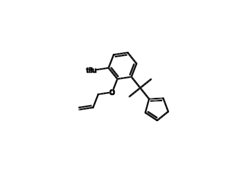 C=CCOc1c(C(C)(C)C)cccc1C(C)(C)C1=CCC=C1